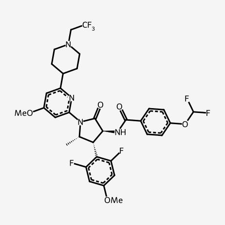 COc1cc(C2CCN(CC(F)(F)F)CC2)nc(N2C(=O)[C@@H](NC(=O)c3ccc(OC(F)F)cc3)[C@H](c3c(F)cc(OC)cc3F)[C@@H]2C)c1